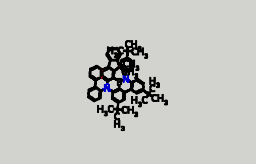 CC(C)(C)c1ccc(N2B3c4c(cc(C(C)(C)C)cc4N(c4ccccc4-c4ccccc4)c4ccc5c(c43)C(C)(C)c3ccccc3-5)-c3cc(C(C)(C)C)ccc32)cc1